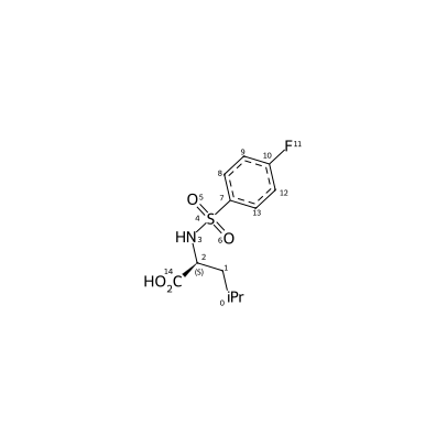 CC(C)C[C@H](NS(=O)(=O)c1ccc(F)cc1)C(=O)O